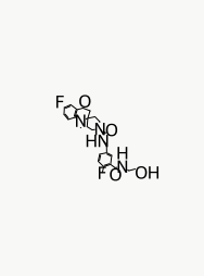 CN1c2ccc(F)cc2C(=O)CC12CCN(C(=O)NCc1ccc(F)c(C(=O)NCCO)c1)CC2